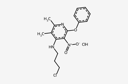 Cc1nc(Oc2ccccc2)c([N+](=O)[O-])c(NCCCCl)c1C.Cl